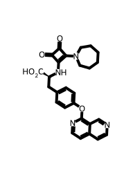 O=C(O)[C@H](Cc1ccc(Oc2nccc3ccncc23)cc1)Nc1c(N2CCCCCC2)c(=O)c1=O